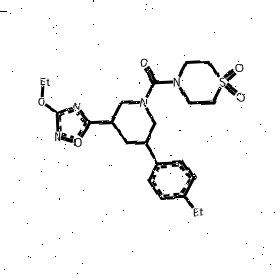 CCOc1noc(C2CC(c3ccc(CC)cc3)CN(C(=O)N3CCS(=O)(=O)CC3)C2)n1